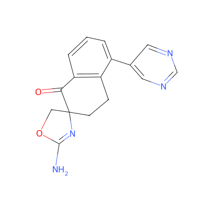 NC1=NC2(CCc3c(cccc3-c3cncnc3)C2=O)CO1